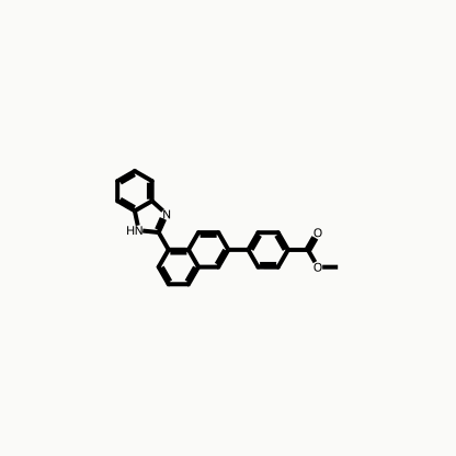 COC(=O)c1ccc(-c2ccc3c(-c4nc5ccccc5[nH]4)cccc3c2)cc1